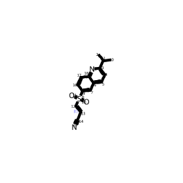 CC(C)c1ccc2cc(S(=O)(=O)/C=C/C#N)ccc2n1